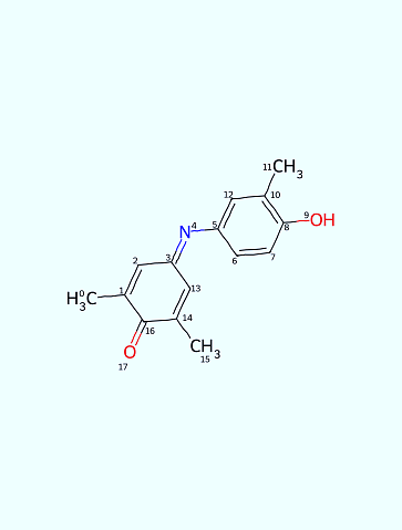 CC1=CC(=Nc2ccc(O)c(C)c2)C=C(C)C1=O